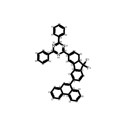 FC1(F)c2ccc(-c3cc4ccccc4c4ccccc34)cc2C2=CC(c3nc(-c4ccccc4)nc(-c4ccccc4)n3)=CCC21